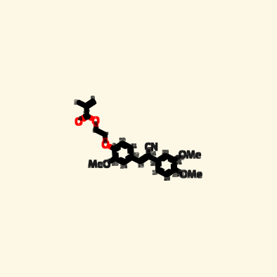 C=C(C)C(=O)OCCOc1ccc(/C=C(\C#N)c2ccc(OC)c(OC)c2)cc1OC